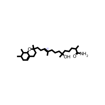 C/C(=C\CCC1(C)CCC2=CCC(C)C(C)C2O1)CCCC(C)(O)CCCC(C)C(N)=O